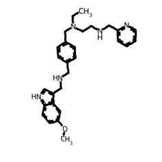 CCN(CCNCc1ccccn1)Cc1ccc(CNCc2c[nH]c3ccc(OC)cc23)cc1